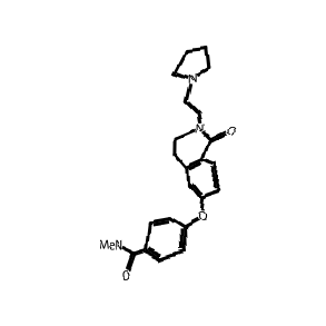 CNC(=O)c1ccc(Oc2ccc3c(c2)CCN(CCN2CCCC2)C3=O)cc1